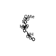 COC(=O)Oc1ccc(C(=O)NS(=O)(=O)c2cccc(CCNC(=O)COc3ccccc3)c2)cn1